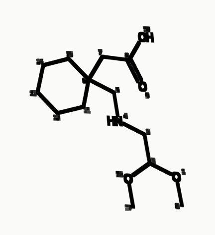 COC(CNCC1(CC(=O)O)CCCCC1)OC